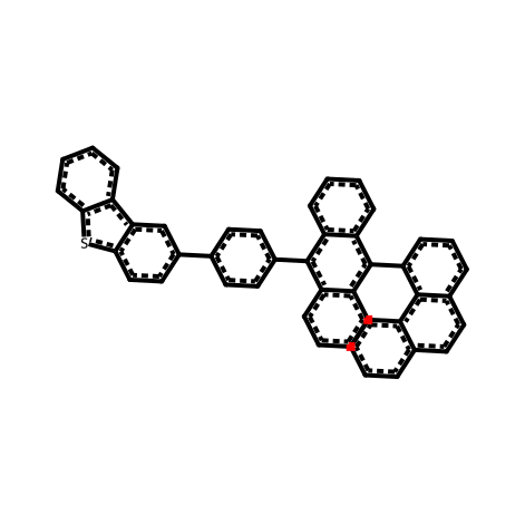 c1ccc2c(c1)ccc1cccc(-c3c4ccccc4c(-c4ccc(-c5ccc6sc7ccccc7c6c5)cc4)c4ccccc34)c12